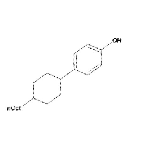 CCCCCCCCC1CCC(c2ccc(O)cc2)CC1